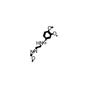 CO/C=N\N=C\CNSc1ccc(OC)c(OC)c1